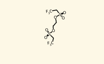 O=S(=O)(CC(F)(F)F)OCCOS(=O)(=O)CC(F)(F)F